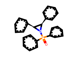 O=P(c1ccccc1)(c1ccccc1)N1[C@H](c2ccccc2)[C@@H]1c1ccccc1